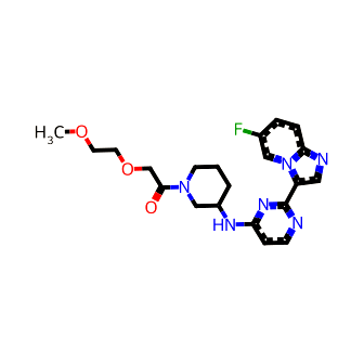 COCCOCC(=O)N1CCCC(Nc2ccnc(-c3cnc4ccc(F)cn34)n2)C1